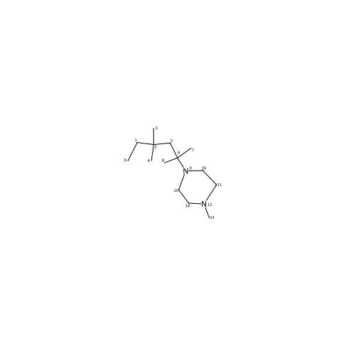 CCC(C)(C)CC(C)(C)N1CCN(C)CC1